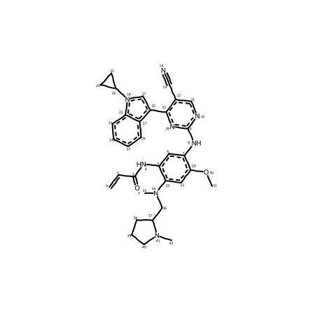 C=CC(=O)Nc1cc(Nc2ncc(C#N)c(-c3cn(C4CC4)c4ccccc34)n2)c(OC)cc1N(C)CC1CCCN1C